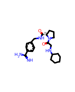 N=C(N)c1ccc(CNC(=O)[C@@H]2CCCN2C(=O)CNC2CCCCC2)cc1